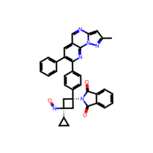 Cc1cc2ncc3cc(-c4ccccc4)c(-c4ccc([C@]5(N6C(=O)c7ccccc7C6=O)C[C@@](N=O)(C6CC6)C5)cc4)nc3n2n1